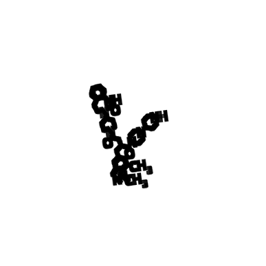 Cc1cc(CC(CC(=O)N2CCC(N3CCc4ccccc4NC3=O)CC2)C(=O)N2CCN(C3CCNCC3)CC2)cc2cnn(C)c12